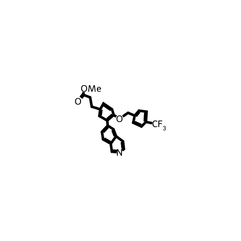 COC(=O)CCc1ccc(OCc2ccc(C(F)(F)F)cc2)c(-c2ccc3cnccc3c2)c1